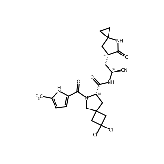 N#C[C@H](C[C@@H]1CC2(CC2)NC1=O)NC(=O)[C@@H]1CC2(CN1C(=O)c1ccc(C(F)(F)F)[nH]1)CC(Cl)(Cl)C2